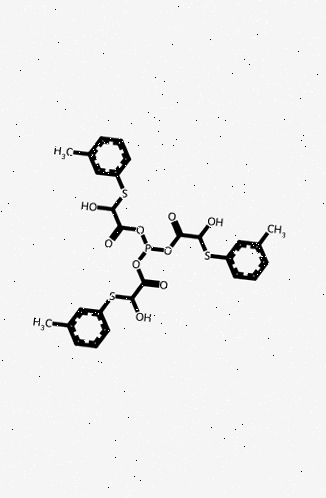 Cc1cccc(SC(O)C(=O)OP(OC(=O)C(O)Sc2cccc(C)c2)OC(=O)C(O)Sc2cccc(C)c2)c1